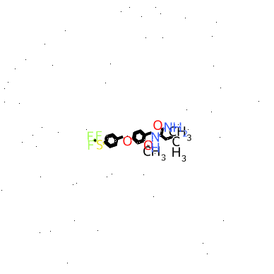 COc1cc(OCc2ccc(SC(F)(F)F)cc2)ccc1CNC(CC(C)C)C(N)=O